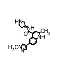 CC1C=C(C(=O)N[C@@H]2CCNC2)c2cc(-c3cnn(C)c3)ccc2N1